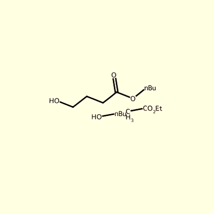 CCCCO.CCCCOC(=O)CCCO.CCOC(C)=O